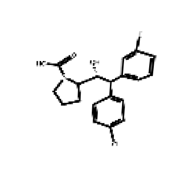 O=C(O)N1CCCC1[C@H](O)[C@H](c1ccc(Cl)cc1)c1cccc(F)c1